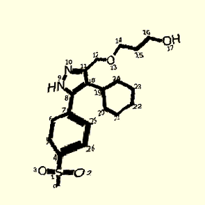 CS(=O)(=O)c1ccc(-c2[nH]nc(COCCCO)c2C2CCCCC2)cc1